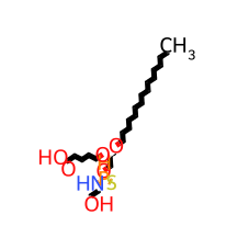 CCCCCCCCCCCCCCCCOC[C@H](CO[PH](=S)NCCO)OCCCCC(=O)O